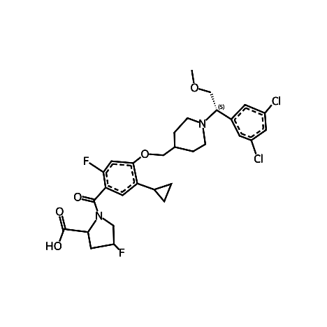 COC[C@H](c1cc(Cl)cc(Cl)c1)N1CCC(COc2cc(F)c(C(=O)N3CC(F)CC3C(=O)O)cc2C2CC2)CC1